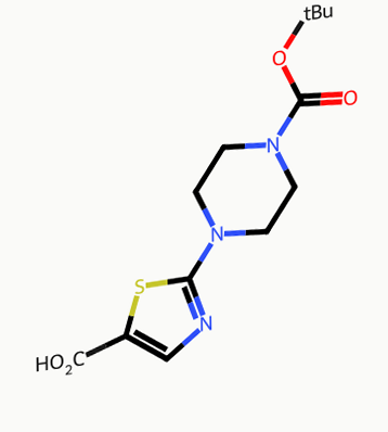 CC(C)(C)OC(=O)N1CCN(c2ncc(C(=O)O)s2)CC1